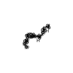 C=CS(=O)(=O)NCC1CCN(S(=O)(=O)c2ccc(C/C=C/S(=O)(=O)NCC3CCN(S(=O)(=O)c4ccc(/C=C\S(=O)(=O)NCC5CCN(S(=O)(=O)c6cccc(-c7ccccc7)c6)C5)cc4OC)C3)cc2)C1